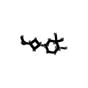 CO[C@H]1C[C@H](N2CC[C@@H](C)C(C)(C)C2)C1